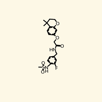 CC1(C)CCOc2cc(OCC(=O)NCc3ccc(NS(C)(=O)=O)c(F)c3)ccc21